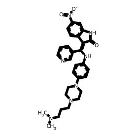 CN(C)CCCN1CCN(c2ccc(N/C(=C3\C(=O)Nc4cc([N+](=O)[O-])ccc43)c3cccnc3)cc2)CC1